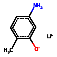 Cc1ccc(N)cc1[O-].[Li+]